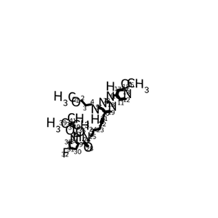 COCCCNc1nc(Nc2ccnc(OC)c2)ncc1C#CCCCNC(=O)[C@@H]1C[C@H](F)CN1C(=O)OC(C)(C)C